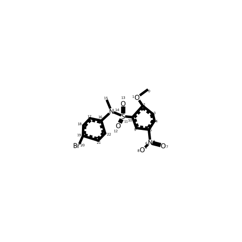 COc1ccc([N+](=O)[O-])cc1S(=O)(=O)N(C)c1ccc(Br)cc1